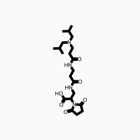 CC(C)CN(CCC(=O)NCCC(=O)NCC(C(=O)O)N1C(=O)CCC1=O)CC(C)C